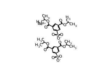 CC(C)OC(=O)c1cc(C(=O)OC(C)C)cc(S(=O)(=O)[O-])c1.CC(C)OC(=O)c1cc(C(=O)OC(C)C)cc(S(=O)(=O)[O-])c1.[Ba+2]